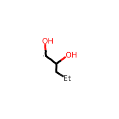 CCCC(O)[CH]O